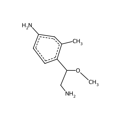 COC(CN)c1ccc(N)cc1C